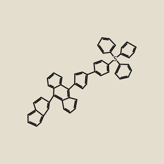 c1ccc(S(c2ccccc2)(c2ccccc2)c2ccc(-c3ccc(-c4c5ccccc5c(-c5ccc6ccccc6c5)c5ccccc45)cc3)cc2)cc1